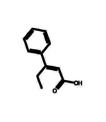 CCC(=CC(=O)O)c1ccccc1